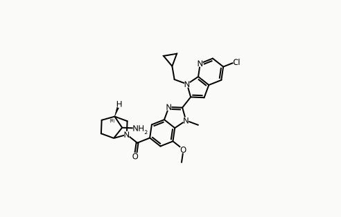 COc1cc(C(=O)N2C[C@H]3CCC2C3N)cc2nc(-c3cc4cc(Cl)cnc4n3CC3CC3)n(C)c12